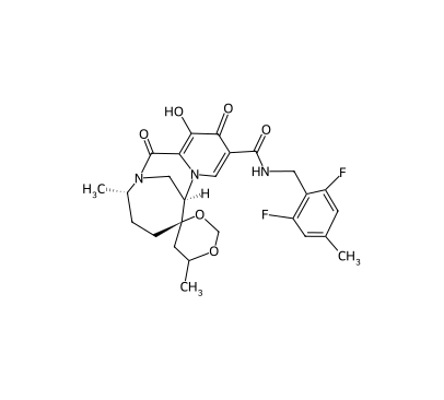 Cc1cc(F)c(CNC(=O)c2cn3c(c(O)c2=O)C(=O)N2C[C@@H]3[C@@]3(CC[C@@H]2C)CC(C)OCO3)c(F)c1